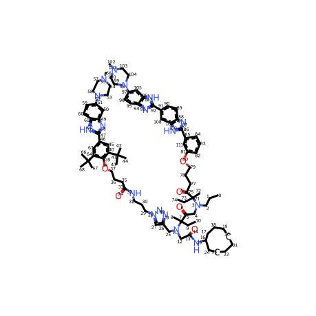 CCCN(CC(=O)C(C)(CC)N(CC(=O)NC1CCCCCCCC1)Cc1cn(CCCNC(=O)CCCOc2c(C(C)(C)C)cc(-c3nc4cc(N5CCN(C)CC5)ccc4[nH]3)cc2C(C)(C)C)nn1)C(C)(CC)C(=O)CCCOc1cccc(-c2nc3ccc(-c4nc5ccc(N6CCN(C)CC6)cc5[nH]4)cc3[nH]2)c1